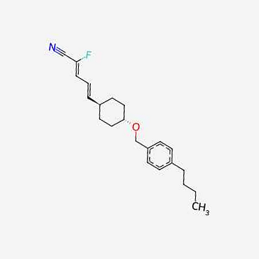 CCCCc1ccc(CO[C@H]2CC[C@H](C=CC=C(F)C#N)CC2)cc1